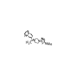 CNc1nnc(N2CCN(C(C)c3ccc4nccnc4c3)CC2)s1